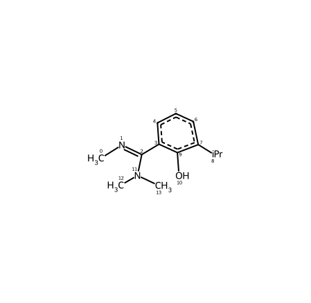 C/N=C(/c1cccc(C(C)C)c1O)N(C)C